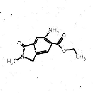 CCOC(=O)c1cc2c(cc1N)C(=O)N(C)C2